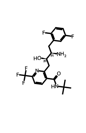 CC(C)(C)NC(=O)c1ccc(C(F)(F)F)nc1C[C@@H](O)[C@H](N)Cc1cc(F)ccc1F